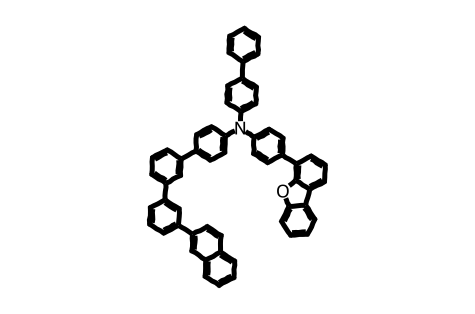 c1ccc(-c2ccc(N(c3ccc(-c4cccc(-c5cccc(-c6ccc7ccccc7c6)c5)c4)cc3)c3ccc(-c4cccc5c4oc4ccccc45)cc3)cc2)cc1